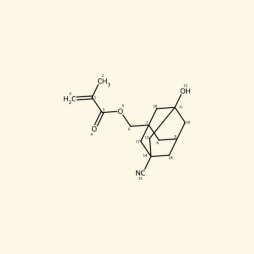 C=C(C)C(=O)OCC12CC3CC(O)(CC(C#N)(C3)C1)C2